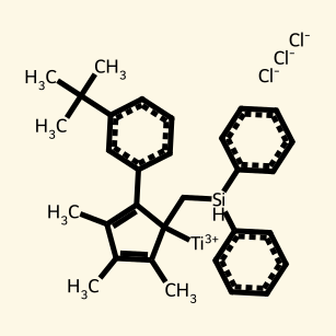 CC1=C(C)[C]([Ti+3])(C[SiH](c2ccccc2)c2ccccc2)C(c2cccc(C(C)(C)C)c2)=C1C.[Cl-].[Cl-].[Cl-]